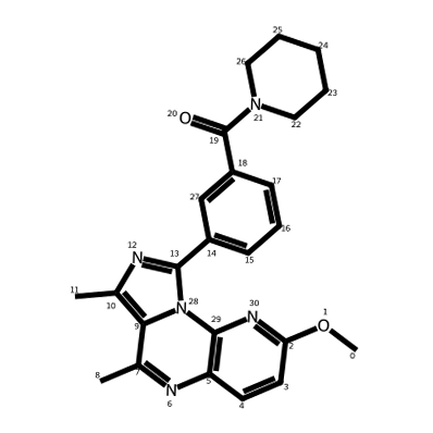 COc1ccc2nc(C)c3c(C)nc(-c4cccc(C(=O)N5CCCCC5)c4)n3c2n1